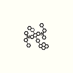 C1=C(c2c3cc(N(c4ccccc4)c4cccc(-c5ccccc5)c4)ccc3c(-c3ccc(-c4ccc5ccc6cccc7ccc4c5c67)cc3)c3cc(N(c4ccccc4)c4cccc(-c5ccccc5)c4)ccc23)CCc2ccccc21